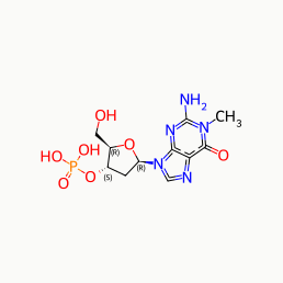 Cn1c(N)nc2c(ncn2[C@H]2C[C@H](OP(=O)(O)O)[C@@H](CO)O2)c1=O